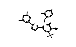 N#Cc1c(C(F)(F)F)cc(-c2ccc(-c3cc(Cl)cc(Cl)c3)s2)n(Cc2ccc(F)cc2F)c1=O